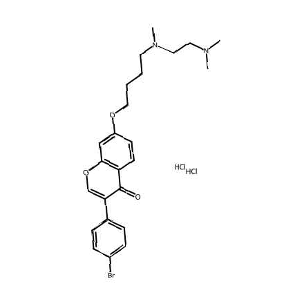 CN(C)CCN(C)CCCCOc1ccc2c(=O)c(-c3ccc(Br)cc3)coc2c1.Cl.Cl